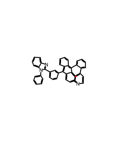 c1ccc(-n2c(-c3cccc(-c4c5ccccc5c(-c5ccccc5-c5ccncc5)c5ccccc45)c3)nc3ccccc32)cc1